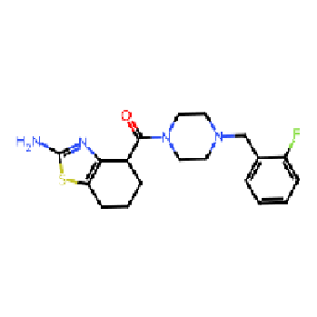 Nc1nc2c(s1)CCCC2C(=O)N1CCN(Cc2ccccc2F)CC1